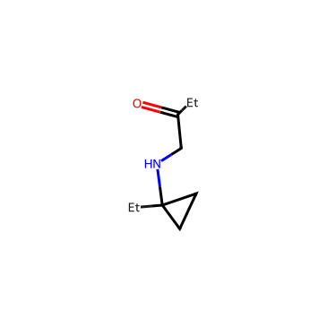 CCC(=O)CNC1(CC)CC1